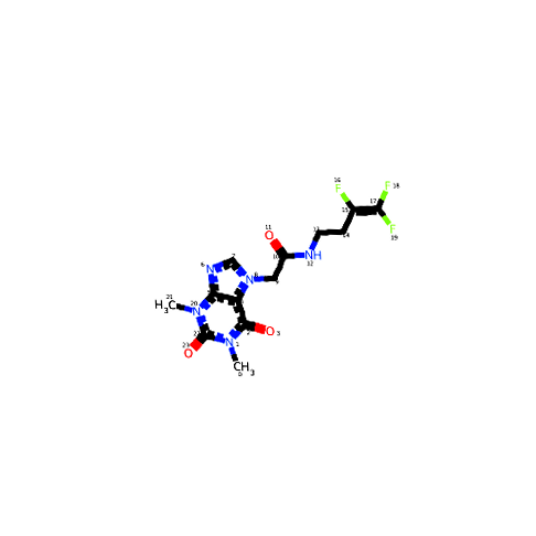 Cn1c(=O)c2c(ncn2CC(=O)NCCC(F)=C(F)F)n(C)c1=O